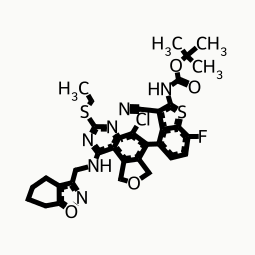 CCSc1nc(NCc2noc3c2CCCC3)c2c3c(c(-c4ccc(F)c5sc(NC(=O)OC(C)(C)C)c(C#N)c45)c(Cl)c2n1)COC3